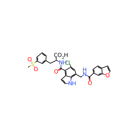 CS(=O)(=O)c1cccc(C[C@H](NC(=O)c2c(Cl)cc(CNC(=O)c3ccc4ccoc4c3)c3[nH]ccc23)C(=O)O)c1